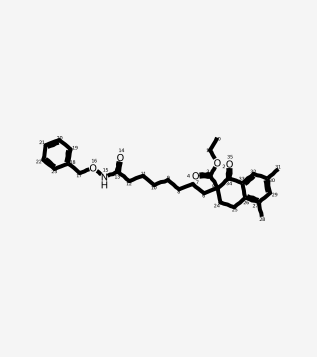 CCOC(=O)C1(CCCCCCCC(=O)NOCc2ccccc2)CCc2c(C)cc(C)cc2C1=O